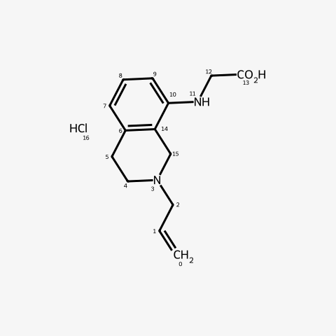 C=CCN1CCc2cccc(NCC(=O)O)c2C1.Cl